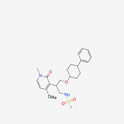 COc1ccn(C)c(=O)c1C(CNS(C)(=O)=O)COC1CCC(c2ccccc2)CC1